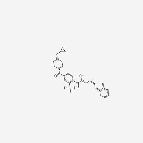 C=c1nccc/c1=C/C=C\C[S+]([O-])Nc1ccc(C(=O)N2CCN(CC3CC3)CC2)cc1C(C)(F)F